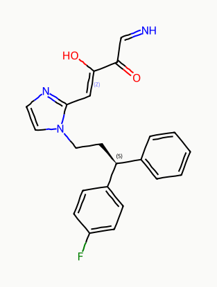 N=CC(=O)/C(O)=C/c1nccn1CC[C@@H](c1ccccc1)c1ccc(F)cc1